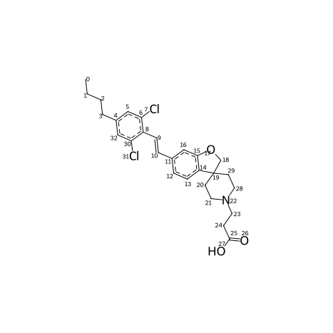 CCCCc1cc(Cl)c(C=Cc2ccc3c(c2)OCC32CCN(CCC(=O)O)CC2)c(Cl)c1